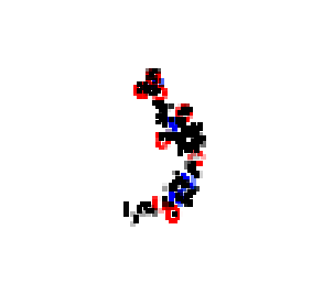 CCOC(=O)N1CCN(CCOc2ccc3c(c2)C(=O)N(CCCO[N+](=O)[O-])C3=O)CC1